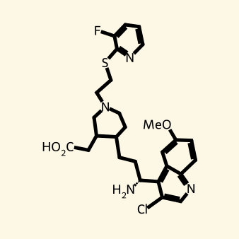 COc1ccc2ncc(Cl)c([C@H](N)CCC3CCN(CCSc4ncccc4F)CC3CC(=O)O)c2c1